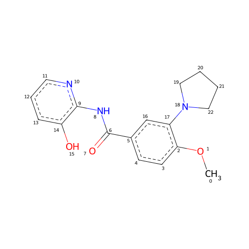 COc1ccc(C(=O)Nc2ncccc2O)cc1N1CCCC1